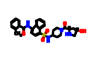 Cc1ccccc1C(=O)Nc1ccc(S(=O)(=O)NC2CCN(C(=O)[C@H]3C[C@@H](O)CN3)CC2)c2ccccc12